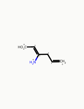 C=CCC(N)=CC(=O)O